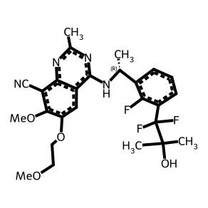 COCCOc1cc2c(N[C@H](C)c3cccc(C(F)(F)C(C)(C)O)c3F)nc(C)nc2c(C#N)c1OC